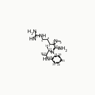 C/N=C(CCCNC(=N)N)\C(N)=N/[C@H](C)C(C)Nc1ccccc1